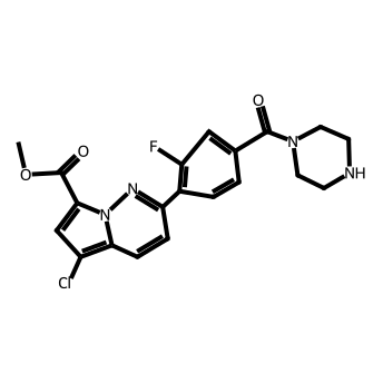 COC(=O)c1cc(Cl)c2ccc(-c3ccc(C(=O)N4CCNCC4)cc3F)nn12